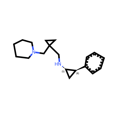 c1ccc([C@H]2C[C@@H]2NCC2(CN3CCCCC3)CC2)cc1